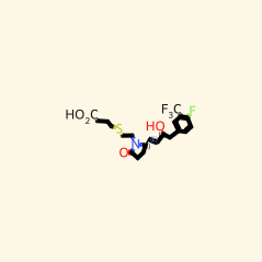 O=C(O)CCCSCCN1C(=O)CC[C@@H]1/C=C/[C@@H](O)Cc1ccc(F)c(C(F)(F)F)c1